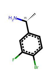 C[C@@H](N)c1ccc(Br)c(F)c1